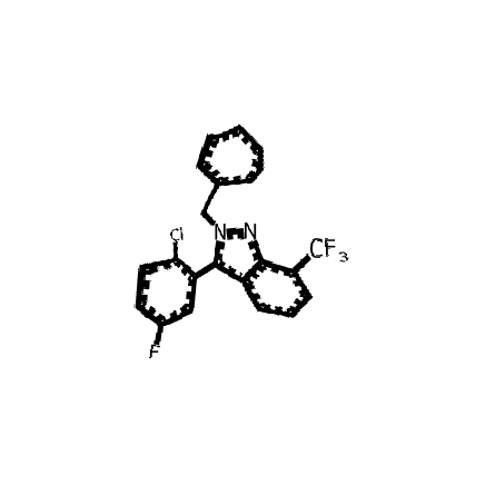 Fc1ccc(Cl)c(-c2c3cccc(C(F)(F)F)c3nn2Cc2ccccc2)c1